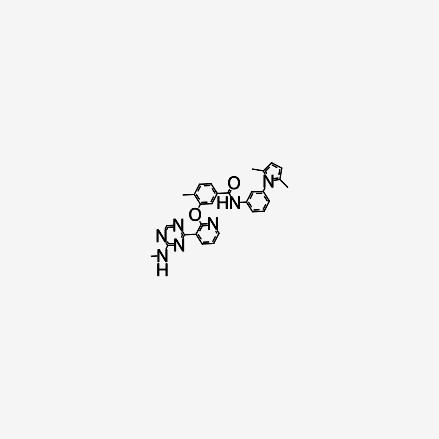 CNc1ncnc(-c2cccnc2Oc2cc(C(=O)Nc3cccc(-n4c(C)ccc4C)c3)ccc2C)n1